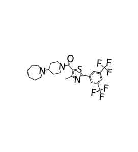 Cc1nc(-c2cc(C(F)(F)F)cc(C(F)(F)F)c2)sc1C(=O)N1CCC(N2CCCCCC2)CC1